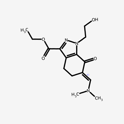 CCOC(=O)c1nn(CCO)c2c1CC/C(=C\N(C)C)C2=O